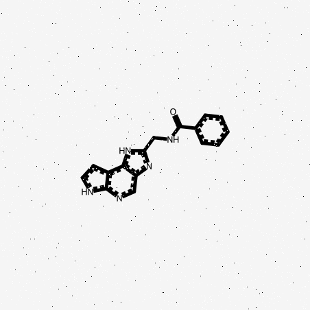 O=C(NCc1nc2cnc3[nH]ccc3c2[nH]1)c1ccccc1